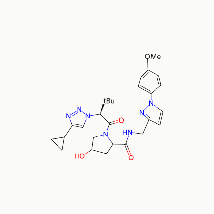 COc1ccc(-n2ccc(CNC(=O)C3CC(O)CN3C(=O)[C@@H](n3cc(C4CC4)nn3)C(C)(C)C)n2)cc1